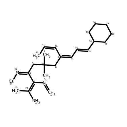 C=NC(/C(CC(C)(C)CC(/C=C\C)=C/C=C/C1CCCCC1)=N\CC)=C(/C)N